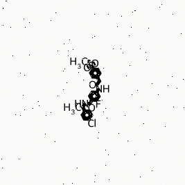 CCS(=O)(=O)c1ccc(CC(=O)Nc2ccc(C(=O)N[C@H](C)c3ccc(Cl)cc3)c(F)c2)cc1